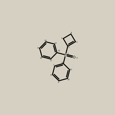 O=P(C1=CCC1)(c1ccccc1)c1ccccc1